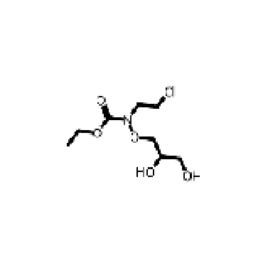 CCOC(=O)N(CCCl)OCC(O)CO